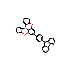 c1ccc2c(c1)Oc1cc(-c3ccc(B4c5ccccc5-c5ccccc54)cc3)cc3c1B2c1ccccc1O3